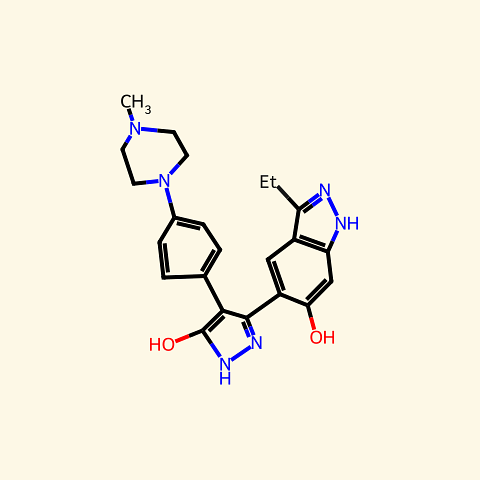 CCc1n[nH]c2cc(O)c(-c3n[nH]c(O)c3-c3ccc(N4CCN(C)CC4)cc3)cc12